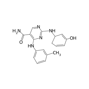 Cc1cccc(Nc2nc(NC3C=C(O)C=CC3)ncc2C(N)=O)c1